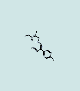 CCN[C@@H](C)CN/N=C(\N=N)c1ccc(F)cn1